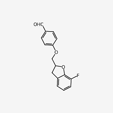 O=Cc1ccc(OCC2Cc3cccc(F)c3O2)cc1